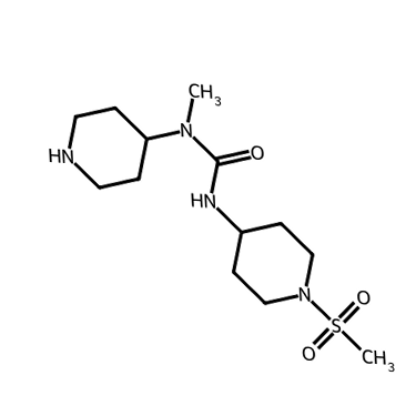 CN(C(=O)NC1CCN(S(C)(=O)=O)CC1)C1CCNCC1